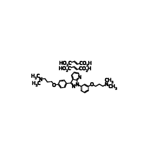 CN(C)CCCOc1ccc(-c2nn(-c3cccc(OCCCN(C)C)c3)c3ncccc23)cc1.O=C(O)C=CC(=O)O.O=C(O)C=CC(=O)O